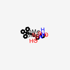 COC(C#COC[C@@H]1O[C@H](n2ccc(=O)[nH]c2=O)CC1O)(OC)C(c1ccccc1)(c1ccccc1)c1ccccc1